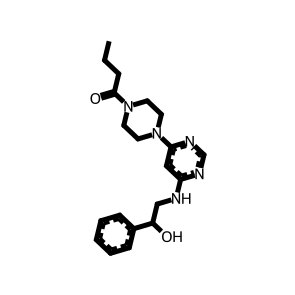 CCCC(=O)N1CCN(c2cc(NCC(O)c3ccccc3)ncn2)CC1